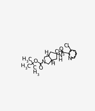 CC1(NC(=O)c2ncccc2Cl)C[C@H]2CN(C(=O)OC(C)(C)C)C[C@H]2C1